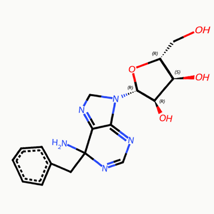 NC1(Cc2ccccc2)N=CN=C2C1=NCN2[C@@H]1O[C@H](CO)[C@@H](O)[C@H]1O